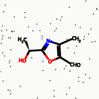 Cc1nc([C@@H](C)O)oc1C=O